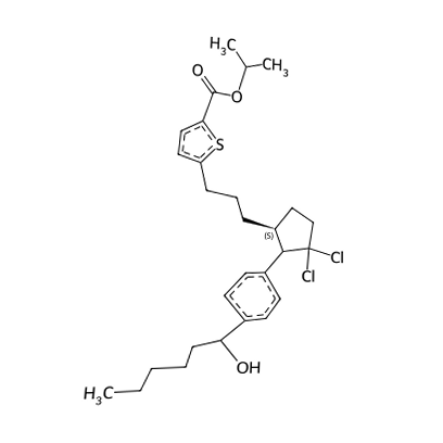 CCCCCC(O)c1ccc(C2[C@@H](CCCc3ccc(C(=O)OC(C)C)s3)CCC2(Cl)Cl)cc1